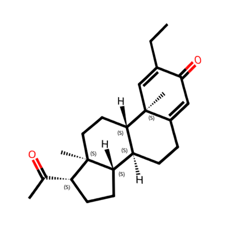 CCC1=C[C@@]2(C)C(=CC1=O)CC[C@H]1[C@@H]3CC[C@H](C(C)=O)[C@@]3(C)CC[C@@H]12